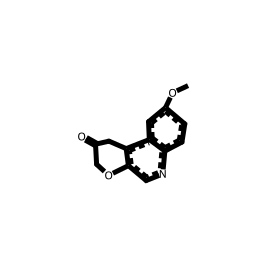 COc1ccc2ncc3c(c2c1)CC(=O)CO3